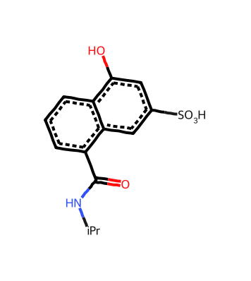 CC(C)NC(=O)c1cccc2c(O)cc(S(=O)(=O)O)cc12